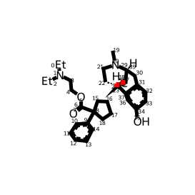 CCN(CC)CCOC(=O)C1(c2ccccc2)CCCC1.CN1CC[C@@]23CCCC[C@@H]2[C@@H]1Cc1ccc(O)cc13